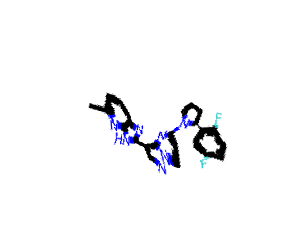 Cc1ccc2nc(-c3cnn4ccc(N5CCC[C@@H]5c5cc(F)ccc5F)nc34)[nH]c2n1